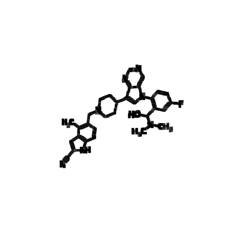 Cc1c(CN2CCC(c3cn(-c4ccc(F)cc4C(O)N(C)C)c4cncnc34)CC2)ccc2[nH]c(C#N)cc12